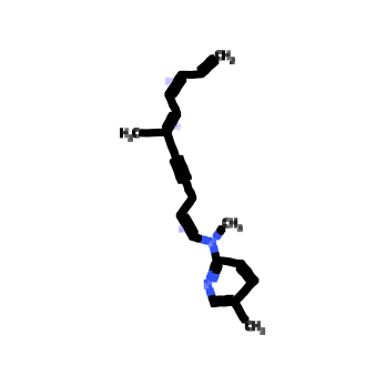 C=C/C=C\C=C(/C)C#CC/C=C\N(C)c1ccc(C)cn1